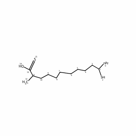 CCCC(S)CCCCCCCCC(C)C(O)=S